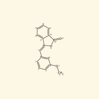 COc1cccc(/C=C2\OC(=O)c3ccccc32)c1